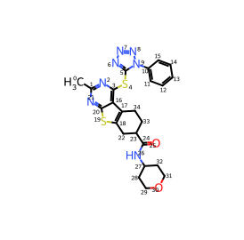 Cc1nc(Sc2nnnn2-c2ccccc2)c2c3c(sc2n1)CC(C(=O)NC1CCOCC1)CC3